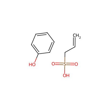 C=CCS(=O)(=O)O.Oc1ccccc1